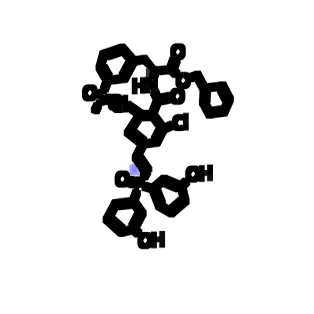 CS(=O)(=O)c1cccc(C[C@H](NC(=O)c2c(Cl)cc(/C=C/P(=O)(c3cccc(O)c3)c3cccc(O)c3)cc2Cl)C(=O)OCc2ccccc2)c1